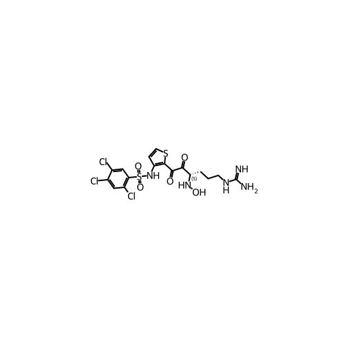 N=C(N)NCCC[C@H](NO)C(=O)C(=O)c1sccc1NS(=O)(=O)c1cc(Cl)c(Cl)cc1Cl